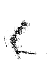 CCCCCCCC/C=C\CCCCCCCCCCCCCCCC(=O)N[C@@H](CO[C@@H]1OC(CO)[C@@H](O[C@@H]2OC(CO)[C@H](O)[C@H](O[C@@H]3OC(CO)[C@@H](O[C@@H]4OC(CO)[C@H](O)[C@H](O[C@@H]5OC(CO)[C@@H](O[C@@H]6OC(CO)[C@H](O)[C@H](O[C@H]7OC(CO)[C@H](O)[C@H](O)C7O)C6O)[C@H](O)C5NC(C)=O)C4O)[C@H](O)C3NC(C)=O)C2O)[C@H](O)C1O)[C@H](O)/C=C/CCCCCCCCCCCCC